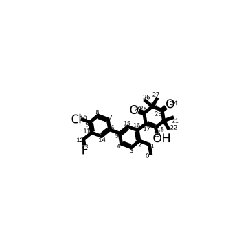 CCc1ccc(-c2ccc(Cl)c(CF)c2)cc1C1=C(O)C(C)(C)C(=O)C(C)(C)C1=O